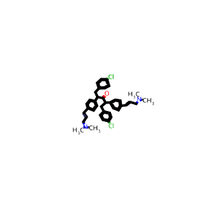 CN(C)C/C=C/c1ccc(C(Cc2ccc(Cl)cc2)C(=O)C(Cc2ccc(Cl)cc2)c2ccc(/C=C/CN(C)C)cc2)cc1